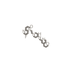 O=c1ccc2ncc(F)cc2n1CCN1CCC(NCc2cc3c(cn2)OCCC3)CC1